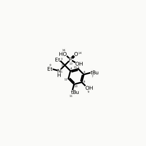 CCNC(CC)(c1cc(C(C)(C)C)c(O)c(C(C)(C)C)c1)P(=O)(O)O